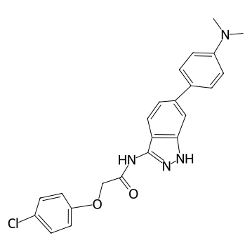 CN(C)c1ccc(-c2ccc3c(NC(=O)COc4ccc(Cl)cc4)n[nH]c3c2)cc1